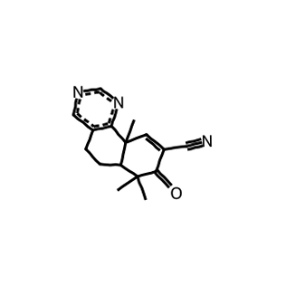 CC1(C)C(=O)C(C#N)=CC2(C)c3ncncc3CCC12